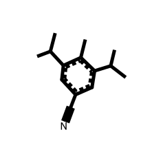 Cc1c(C(C)C)cc(C#N)cc1C(C)C